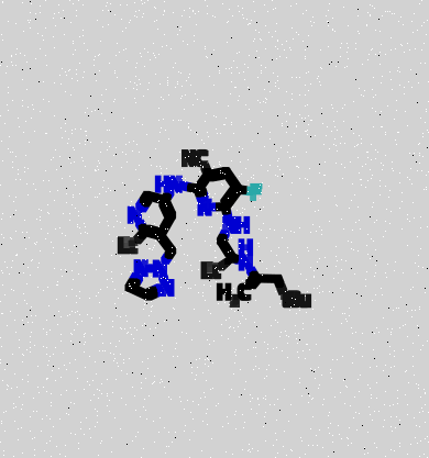 C=C(CC(C)(C)C)N[C@@H](CC)CNc1nc(Nc2cnc(CC)c(Cn3nccn3)c2)c(C#N)cc1F